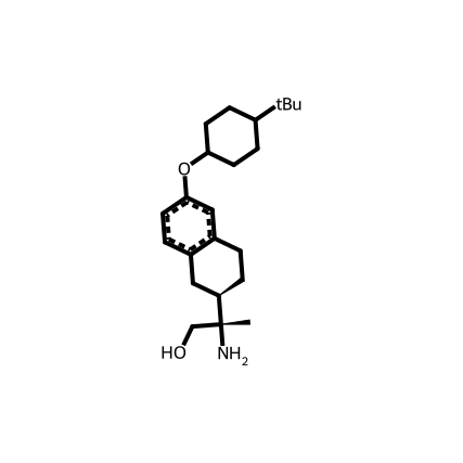 CC(C)(C)C1CCC(Oc2ccc3c(c2)CC[C@@H]([C@](C)(N)CO)C3)CC1